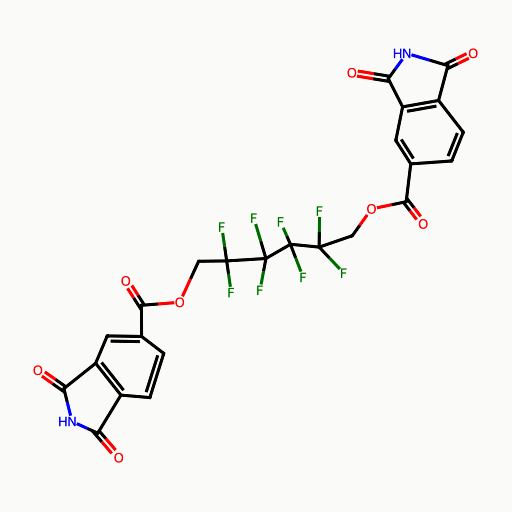 O=C(OCC(F)(F)C(F)(F)C(F)(F)C(F)(F)COC(=O)c1ccc2c(c1)C(=O)NC2=O)c1ccc2c(c1)C(=O)NC2=O